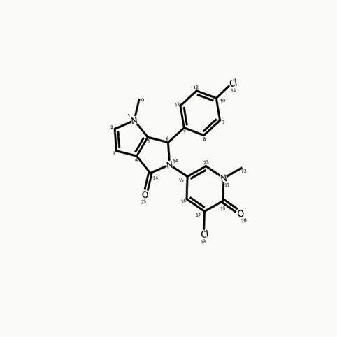 Cn1ccc2c1C(c1ccc(Cl)cc1)N(c1cc(Cl)c(=O)n(C)c1)C2=O